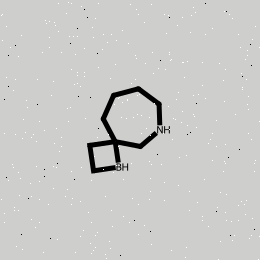 B1CCC12CCCCNC2